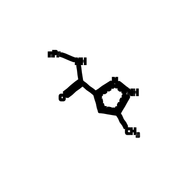 CCCNC(=O)c1cc(C)[nH]n1